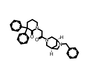 O=C(CN1CCCC(c2ccccc2)(c2ccccc2)C1=O)N1C[C@H]2C[C@@H](C1)N(Cc1ccccc1)C2